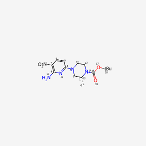 C[C@@H]1CN(c2ccc([N+](=O)[O-])c(N)n2)CCN1C(=O)OC(C)(C)C